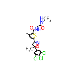 Cc1cc(C2=NOC(c3cc(Cl)c(Cl)c(Cl)c3)(C(F)(F)F)C2)sc1C(=O)NCC(=O)NCC(F)(F)F